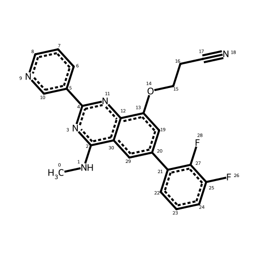 CNc1nc(-c2cccnc2)nc2c(OCCC#N)cc(-c3cccc(F)c3F)cc12